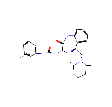 Cc1cccc(NC(=O)N[C@@H]2N=C(CN3C(C)CCCC3C)c3ccccc3NC2=O)c1